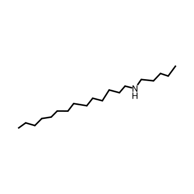 CCCCCCCCCCCCCCNCCCCC